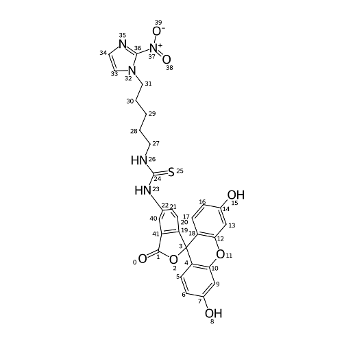 O=C1OC2(c3ccc(O)cc3Oc3cc(O)ccc32)c2ccc(NC(=S)NCCCCCn3ccnc3[N+](=O)[O-])cc21